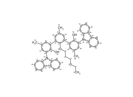 CCOCCCOc1c(-c2cc(C)cc(-n3c4ccccc4c4ccccc43)c2O)cc(C)cc1-c1cc(C)cc(-n2c3ccccc3c3ccccc32)c1O